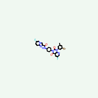 Cc1cc(Br)cc(-n2c(=O)n(C3CCC(NC(=O)c4cn5cc(F)ccc5n4)CC3)c(=O)c3cc(F)cnc32)c1